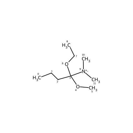 CCCC(OC)(OCC)[N+](C)C